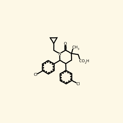 CC1(CC(=O)O)CC(c2cccc(Cl)c2)C(c2ccc(Cl)cc2)N(CC2CC2)C1=O